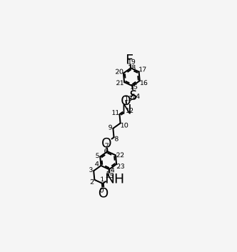 O=C1CCc2cc(OCCCC=NOSc3ccc(F)cc3)ccc2N1